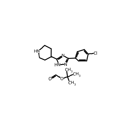 CC(C)(C)OC=O.Clc1ccc(-c2n[nH]c(C3CCNCC3)n2)cc1